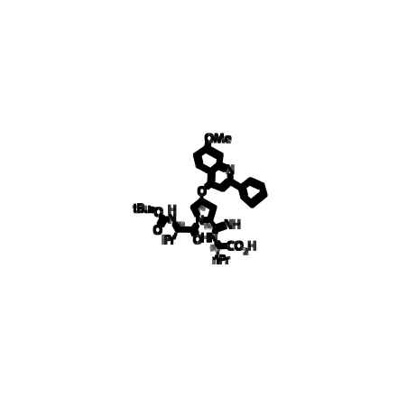 CCC[C@H](NC(=N)[C@@H]1C[C@@H](Oc2cc(-c3ccccc3)nc3cc(OC)ccc23)CN1C(=O)[C@@H](NC(=O)OC(C)(C)C)C(C)C)C(=O)O